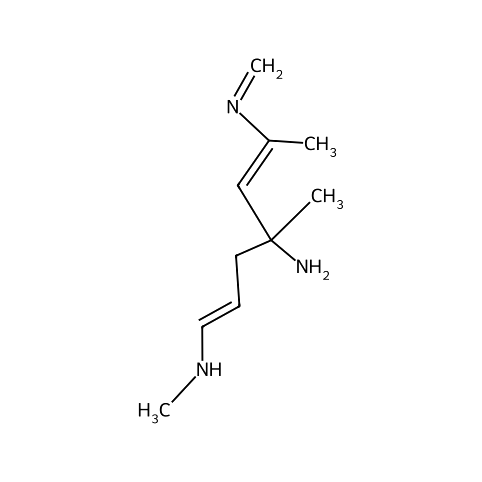 C=N/C(C)=C/C(C)(N)C/C=C/NC